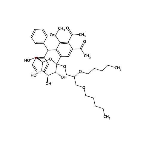 CCCCCOCC(COC1(c2cc(C(C)=O)c(C(C)=O)c(C(C)=O)c2C(c2ccccc2)c2ccccc2)O[C@H](CO)[C@@H](O)[C@H](O)[C@H]1O)OCCCCC